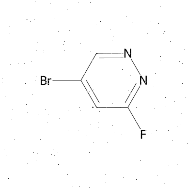 Fc1[c]c(Br)cnn1